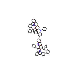 c1ccc(-c2cccc(-c3cc(-c4ccc(N(c5ccc6c(c5)-n5c7ccccc7c7cccc(c75)C65c6ccccc6-c6ccccc65)c5ccccc5-c5ccccc5-c5ccccc5)cc4)ccc3N(c3ccccc3)c3ccc4c(c3)C3(c5ccccc5-c5ccccc53)c3cccc5c6ccccc6n-4c35)c2)cc1